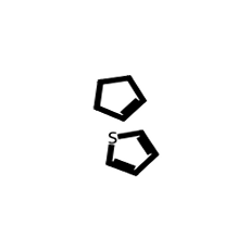 C1=CCCC1.c1ccsc1